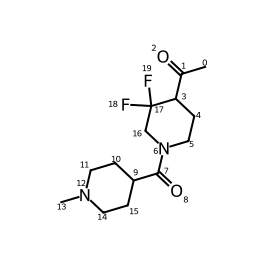 CC(=O)C1CCN(C(=O)C2CCN(C)CC2)CC1(F)F